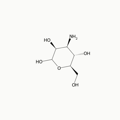 N[C@H]1[C@H](O)[C@@H](CO)OC(O)[C@H]1O